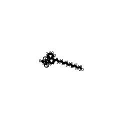 C=CS(=O)(=O)c1ccc(CCCCCCCCCCCC)c2ccccc12